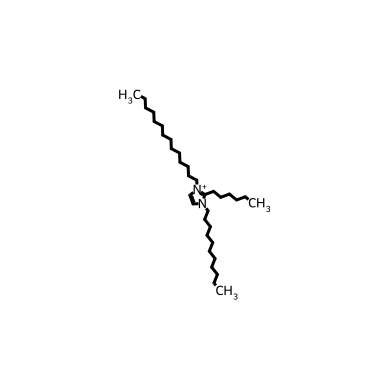 CCCCCCCCCCCCCC[n+]1ccn(CCCCCCCCCCC)c1CCCCCC